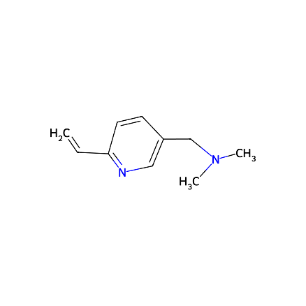 C=Cc1ccc(CN(C)C)cn1